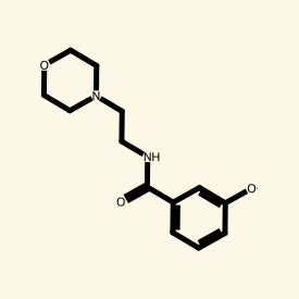 [O]c1cccc(C(=O)NCCN2CCOCC2)c1